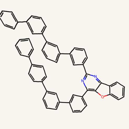 c1ccc(-c2ccc(-c3cccc(-c4cccc(-c5nc(-c6cccc(-c7cccc(-c8cccc(-c9ccccc9)c8)c7)c6)nc6c5oc5ccccc56)c4)c3)cc2)cc1